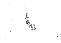 CN1c2ccccc2N=CC1c1cnn(C2CCNCC2)c1